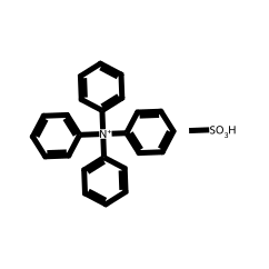 CS(=O)(=O)O.c1ccc([N+](c2ccccc2)(c2ccccc2)c2ccccc2)cc1